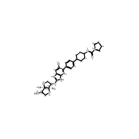 O=C(OC1CCC(c2ccc(-c3nc4[nH]c(O[C@@H]5CO[C@H]6[C@@H]5OC[C@H]6O)nc4cc3Cl)cc2)CC1)N1CCCC1